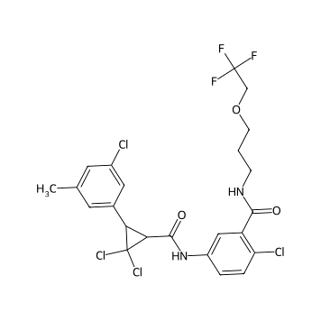 Cc1cc(Cl)cc(C2C(C(=O)Nc3ccc(Cl)c(C(=O)NCCCOCC(F)(F)F)c3)C2(Cl)Cl)c1